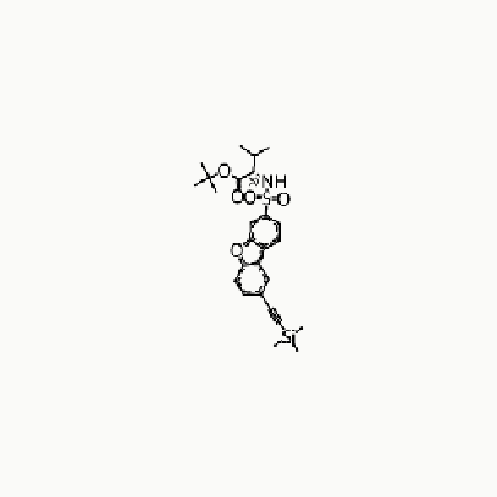 CC(C)[C@H](NS(=O)(=O)c1ccc2c(c1)oc1ccc(C#C[Si](C)(C)C)cc12)C(=O)OC(C)(C)C